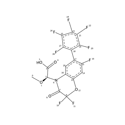 CO[C@@H](C(=O)O)N1C(=O)C(F)(F)Oc2cc(F)c(-c3c(F)c(F)c(F)c(F)c3F)cc21